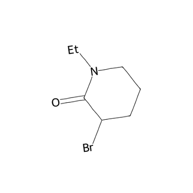 CCN1CCCC(Br)C1=O